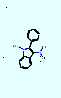 CN(C)c1c(-c2ccccc2)n(C=O)c2ccccc12